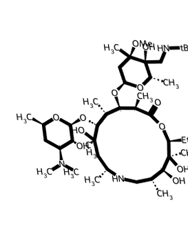 CC[C@@H]1OC(=O)[C@H](C)[C@H](O[C@H]2C[C@@](C)(OC)[C@](O)(CNC(C)(C)C)[C@H](C)O2)[C@@H](C)[C@@H](O[C@@H]2O[C@H](C)C[C@H](N(C)C)[C@H]2O)[C@](C)(O)C[C@@H](C)NC[C@@H](C)[C@H](O)[C@]1(C)O